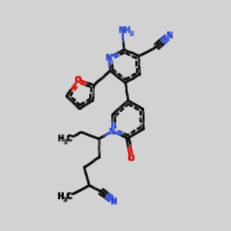 CCC(CCC(C)C#N)n1cc(-c2cc(C#N)c(N)nc2-c2ccco2)ccc1=O